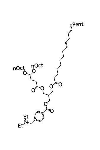 CCCCCC=CCC=CCCCCCCCC(=O)OCC(COC(=O)CCC(OCCCCCCCC)OCCCCCCCC)COC(=O)c1ccc(CN(CC)CC)cc1